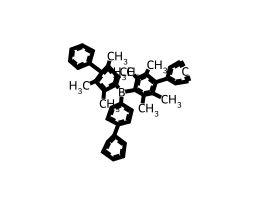 Cc1c(C)c(-c2ccccc2)c(C)c(C)c1B(c1ccc(-c2ccccc2)cc1)c1c(C)c(C)c(-c2ccccc2)c(C)c1C